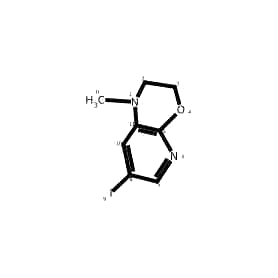 CN1CCOc2ncc(I)cc21